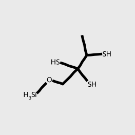 CC(S)C(S)(S)CO[SiH3]